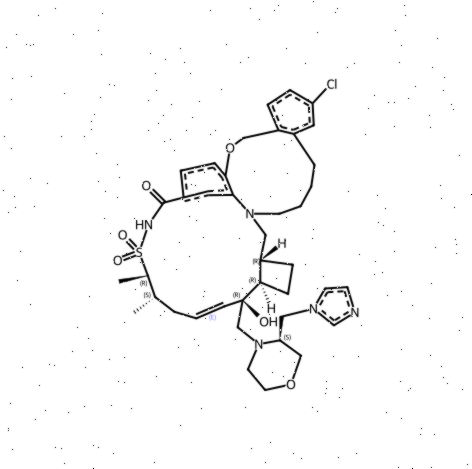 C[C@@H]1[C@@H](C)C/C=C/[C@@](O)(CN2CCOC[C@@H]2Cn2ccnc2)[C@@H]2CC[C@H]2CN2CCCCc3cc(Cl)ccc3COc3ccc(cc32)C(=O)NS1(=O)=O